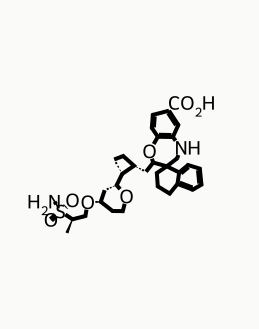 C[C@H](CO[C@H]1CCO[C@@H]([C@@H]2CC[C@@H]2CC2Oc3ccc(C(=O)O)cc3NCC23CCCc2ccccc23)C1)S(N)(=O)=O